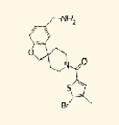 Cc1cc(C(=O)N2CCC3(CC2)COc2ccc(CN)cc23)sc1Br